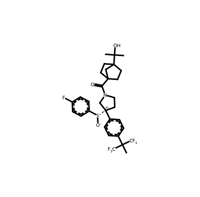 CC(C)(O)C12CCC(C(=O)N3CC[C@](c4ccc(C(C)(C(F)(F)F)C(F)(F)F)cc4)([S+]([O-])c4ccc(F)cc4)C3)(CC1)C2